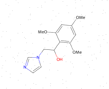 COc1cc(OC)c(C(O)Cn2ccnc2)c(OC)c1